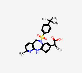 Cc1ccc2c(n1)Nc1ccc(C(C)C(=O)O)cc1N(S(=O)(=O)c1ccc(C(C)(C)C)cc1)C2